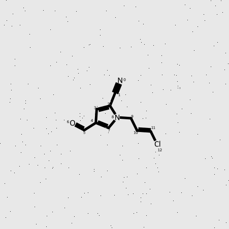 N#Cc1cc(C=O)cn1C/C=C/Cl